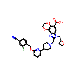 N#Cc1ccc(COc2cccc(C3CCN(Cc4nc5c6c(c(C(=O)O)cc5n4C[C@@H]4CCO4)OCCO6)CC3)n2)c(F)c1